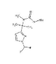 CN(C(=O)OC(C)(C)C)C(C)(C)c1ccn(C(F)F)n1